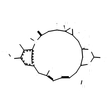 COc1cc2cc(c1Cl)N(C)C(=O)C[C@H](O)[C@]1(C)O[C@H]1[C@H](C)[C@@H]1C[C@@](O)(NC(O)O1)[C@H](OC)/C=C/C=C(\C)C2